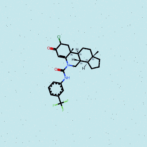 C[C@@]12CCC[C@H]1[C@@H]1CN(C(=O)Nc3cccc(C(F)(F)F)c3)C3=CC(=O)C(Cl)C[C@]3(C)[C@H]1CC2